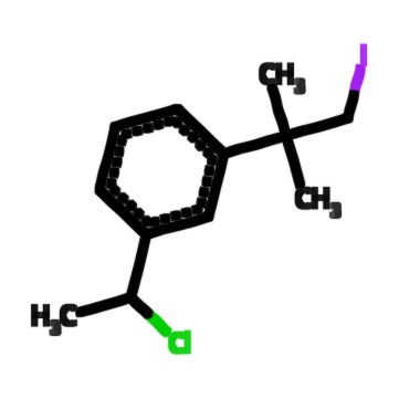 CC(Cl)c1cccc(C(C)(C)CI)c1